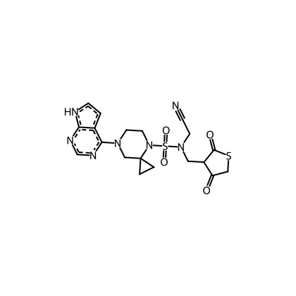 N#CCN(CC1C(=O)CSC1=O)S(=O)(=O)N1CCN(c2ncnc3[nH]ccc23)CC12CC2